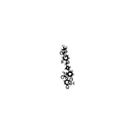 Cn1c(=O)n(C2CCC(=O)NC2=O)c2cccc([C@H]3C[C@H](CO[C@@H]4CCN(C(=O)OC(C)(C)C)C[C@@H]4F)C3)c21